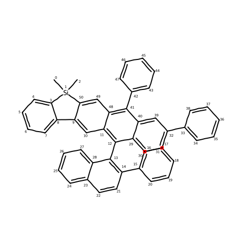 C[Si]1(C)c2ccccc2-c2cc3c(-c4c(-c5ccccc5)ccc5ccccc45)c4ccc(-c5ccccc5)cc4c(-c4ccccc4)c3cc21